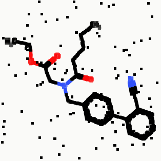 CCCCC(=O)N(CC(=O)OCC)Cc1ccc(-c2ccccc2C#N)cc1